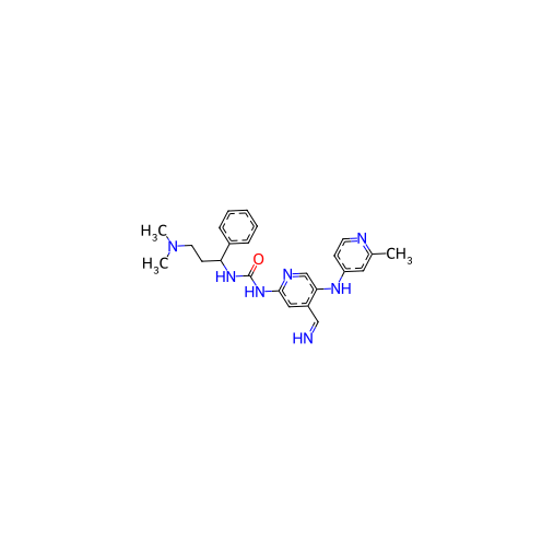 Cc1cc(Nc2cnc(NC(=O)NC(CCN(C)C)c3ccccc3)cc2C=N)ccn1